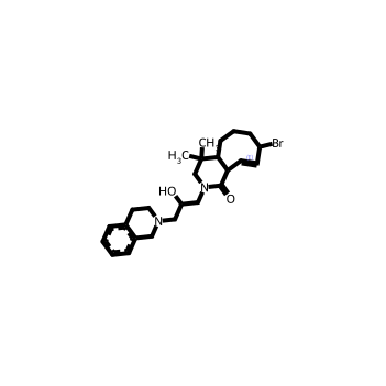 CC1(C)CN(CC(O)CN2CCc3ccccc3C2)C(=O)C2/C=C/C(Br)CCCC21